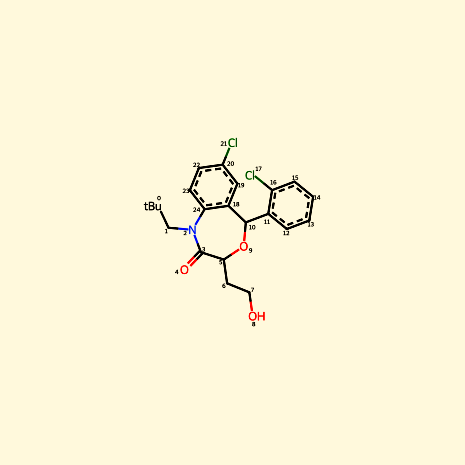 CC(C)(C)CN1C(=O)C(CCO)OC(c2ccccc2Cl)c2cc(Cl)ccc21